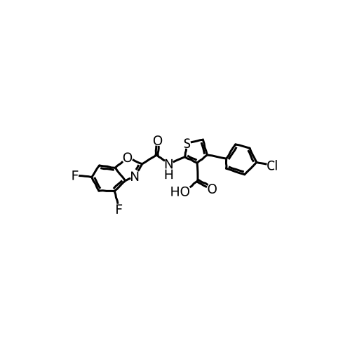 O=C(Nc1scc(-c2ccc(Cl)cc2)c1C(=O)O)c1nc2c(F)cc(F)cc2o1